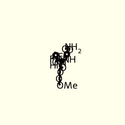 COCCOCCOCC(=O)Nc1nc(Nc2ccc(S(N)(=O)=O)cc2)nn1C(=O)c1c(F)cccc1F